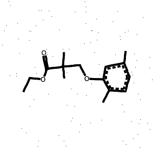 CCOC(=O)C(C)(C)COc1cc(C)ccc1C